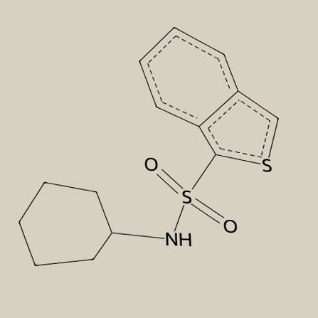 O=S(=O)(NC1CCCCC1)c1scc2ccccc12